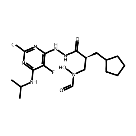 CC(C)Nc1nc(Cl)nc(NNC(=O)[C@@H](CC2CCCC2)CN(O)C=O)c1F